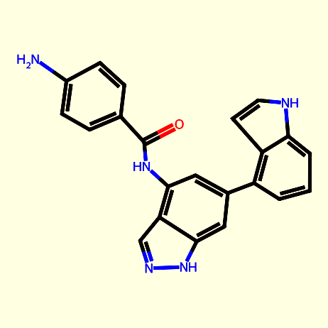 Nc1ccc(C(=O)Nc2cc(-c3cccc4[nH]ccc34)cc3[nH]ncc23)cc1